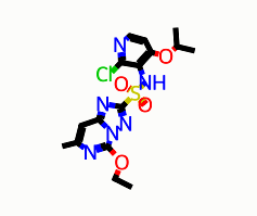 CCOc1nc(C)cc2nc(S(=O)(=O)Nc3c(OC(C)C)ccnc3Cl)nn12